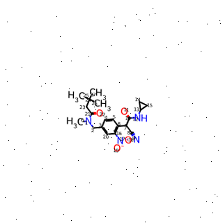 CN(Cc1ccc(C(C#N)C(=O)NC2CC2)c([N+](=O)[O-])c1)C(=O)CC(C)(C)C